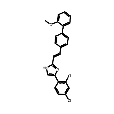 COc1ccccc1-c1ccc(C=Cc2nc(-c3ccc(Cl)cc3Cl)c[nH]2)cc1